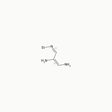 CC/N=C\C(N)=C/N